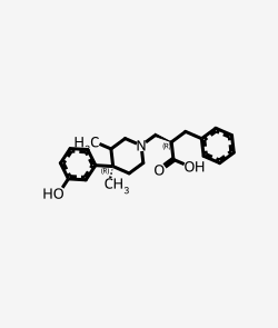 CC1CN(C[C@@H](Cc2ccccc2)C(=O)O)CC[C@@]1(C)c1cccc(O)c1